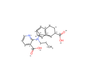 CCCN(c1ncccc1C(=O)O)C1c2ccc3c(c2)CCC(C(=O)O)C31